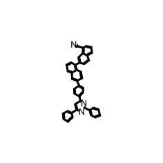 N#Cc1cccc2ccc(-c3cccc4cc(-c5ccc(-c6cc(-c7ccccc7)nc(-c7ccccc7)n6)cc5)ccc34)cc12